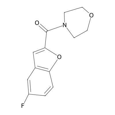 O=C(c1cc2cc(F)ccc2o1)N1CCOCC1